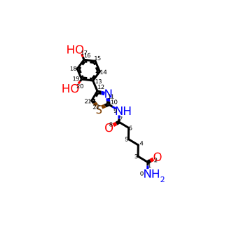 NC(=O)CCCCC(=O)Nc1nc(-c2ccc(O)cc2O)cs1